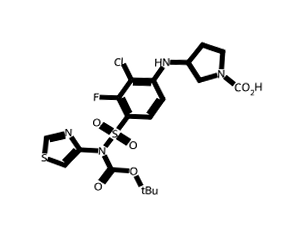 CC(C)(C)OC(=O)N(c1cscn1)S(=O)(=O)c1ccc(NC2CCN(C(=O)O)C2)c(Cl)c1F